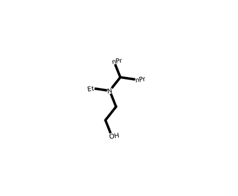 CCCC(CCC)N(CC)CCO